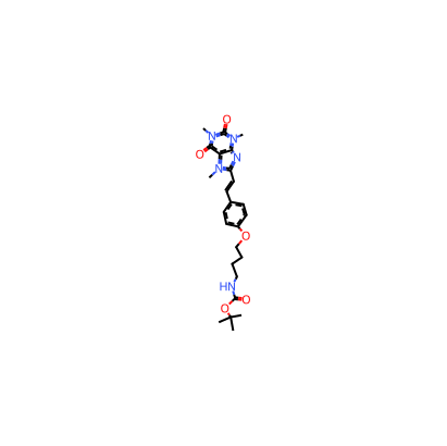 Cn1c(=O)c2c(nc(C=Cc3ccc(OCCCCNC(=O)OC(C)(C)C)cc3)n2C)n(C)c1=O